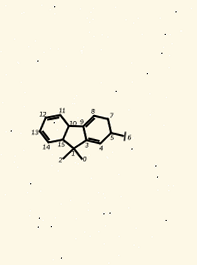 CC1(C)C2=CC(I)CC=C2C2C=CC=CC21